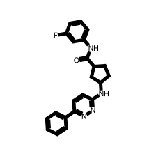 O=C(Nc1cccc(F)c1)C1CCC(Nc2ccc(-c3ccccc3)nn2)C1